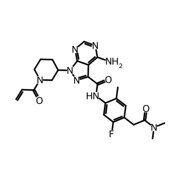 C=CC(=O)N1CCCC(n2nc(C(=O)Nc3cc(F)c(CC(=O)N(C)C)cc3C)c3c(N)ncnc32)C1